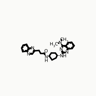 CN(C)c1nc(N[C@H]2CC[C@@H](NC(=O)CCc3cnc4ccccc4n3)CC2)nc2ccccc12